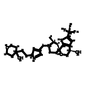 C[C@H]1C[C@@]2(CCN1Cc1cnn(CCC3(O)CCOCC3)c1)OC[C@@H](O)c1cc(C(F)(F)F)sc12